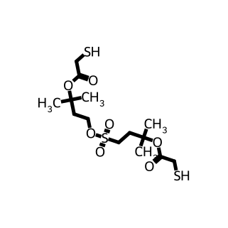 CC(C)(CCOS(=O)(=O)CCC(C)(C)OC(=O)CS)OC(=O)CS